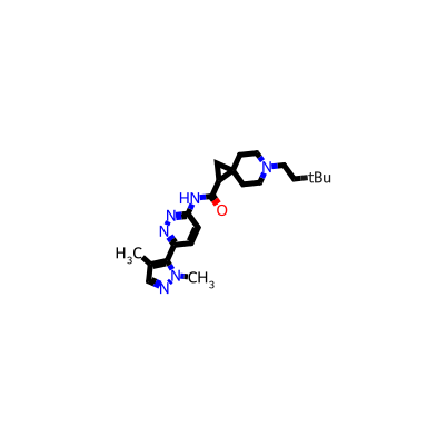 Cc1cnn(C)c1-c1ccc(NC(=O)C2CC23CCN(CCC(C)(C)C)CC3)nn1